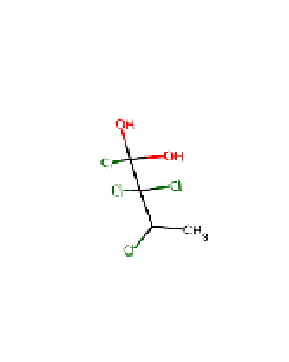 CC(Cl)C(Cl)(Cl)C(O)(O)Cl